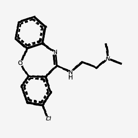 CN(C)CCNC1=Nc2ccccc2Oc2ccc(Cl)cc21